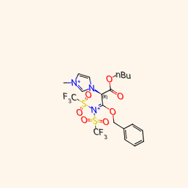 CCCCOC(=O)[C@@H](C(OCc1ccccc1)=[N+](S(=O)(=O)C(F)(F)F)S(=O)(=O)C(F)(F)F)n1cc[n+](C)c1